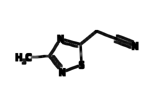 Cc1nsc(CC#N)n1